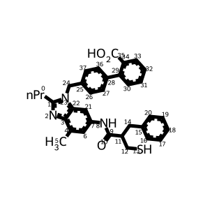 CCCc1nc2c(C)cc(NC(=O)C(CS)Cc3ccccc3)cc2n1Cc1ccc(-c2ccccc2C(=O)O)cc1